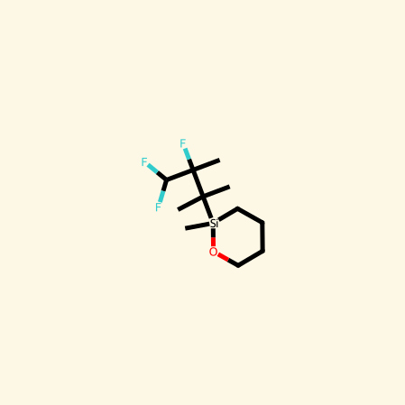 CC(F)(C(F)F)C(C)(C)[Si]1(C)CCCCO1